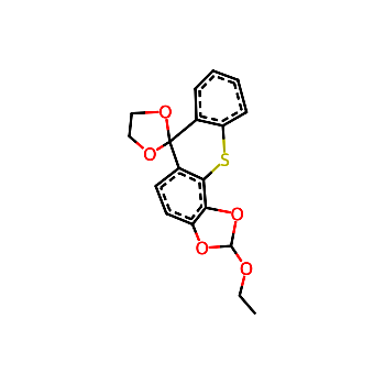 CCOC1Oc2ccc3c(c2O1)Sc1ccccc1C31OCCO1